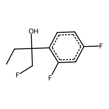 CCC(O)(CF)c1ccc(F)cc1F